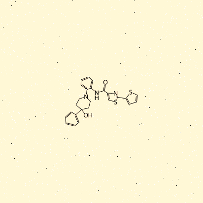 O=C(Nc1ccccc1N1CCC(O)(c2ccccc2)CC1)c1csc(-c2cccs2)n1